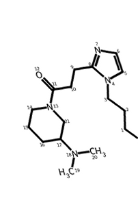 CCCCn1ccnc1CCC(=O)N1CCCC(N(C)C)C1